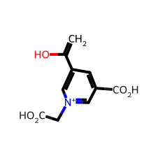 C=C(O)c1cc(C(=O)O)c[n+](CC(=O)O)c1